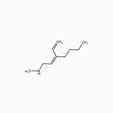 C=C/C(=C\CNC)CCCC